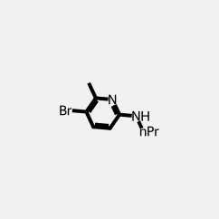 CCCNc1ccc(Br)c(C)n1